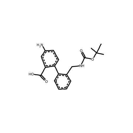 CC(C)(C)OC(=O)NCc1ccccc1-c1ccc(N)cc1C(=O)O